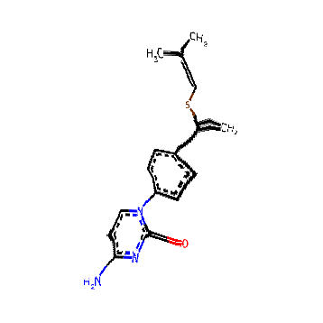 C=C(SC=C(C)C)c1ccc(-n2ccc(N)nc2=O)cc1